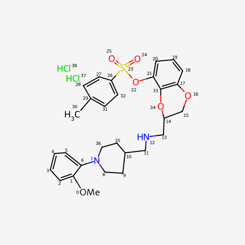 COc1ccccc1N1CCC(CNCC2COc3cccc(OS(=O)(=O)c4ccc(C)cc4)c3O2)CC1.Cl.Cl